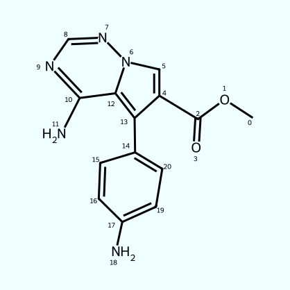 COC(=O)c1cn2ncnc(N)c2c1-c1ccc(N)cc1